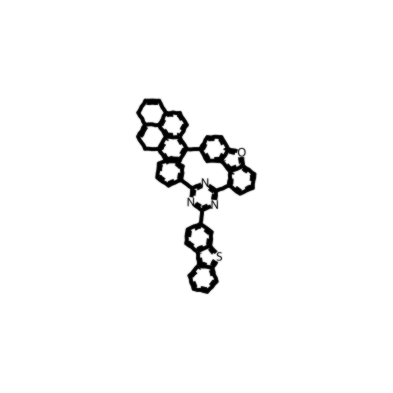 C1=Cc2ccc3c(-c4ccc5oc6cccc(-c7nc(-c8ccccc8)nc(-c8ccc9c(c8)sc8ccccc89)n7)c6c5c4)ccc4c3c2C(=CC4)C1